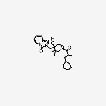 CC(CC1CCCCC1)C(=O)N1CCC(O)(Cn2nc3ccccn3c2=O)C(C)(C)C1